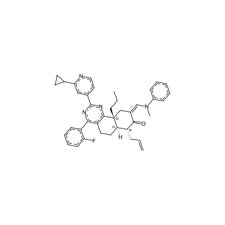 C=CC[C@H]1C(=O)/C(=C\N(C)c2ccccc2)C[C@@]2(CCC)c3nc(-c4ccnc(C5CC5)c4)nc(-c4ccccc4F)c3CC[C@H]12